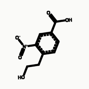 O=C(O)c1ccc(CCO)c([N+](=O)[O-])c1